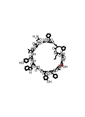 CCCC[C@H]1C(=O)N2c3cccc(c3)C[C@@H](C(=O)N1C)N(C)C(=O)[C@H](Cc1ccccc1)NC(=O)CSC[C@@H](C(=O)NCC(N)=O)NC(=O)[C@H](CC(C)C)NC(=O)[C@H](Cc1ccc(O)cc1)NC(=O)[C@H](Cc1c[nH]c3ccccc13)NC(=O)CN(C)C(=O)[C@H](Cc1ccc(O)cc1)NC(=O)[C@H](Cc1ccccc1)N(C)C(=O)[C@H](C(C)C)NC(=O)[C@H](CC(=O)O)NC(=O)[C@@H]2C